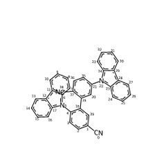 N#Cc1ccc(-n2c3ccccc3c3ccccc32)c(-c2cc(-n3c4ccccc4c4ccccc43)ccc2C#N)c1